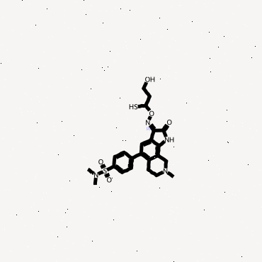 CN1CCc2c(-c3ccc(S(=O)(=O)N(C)C)cc3)cc3c(c2C1)NC(=O)/C3=N\OC(S)CCO